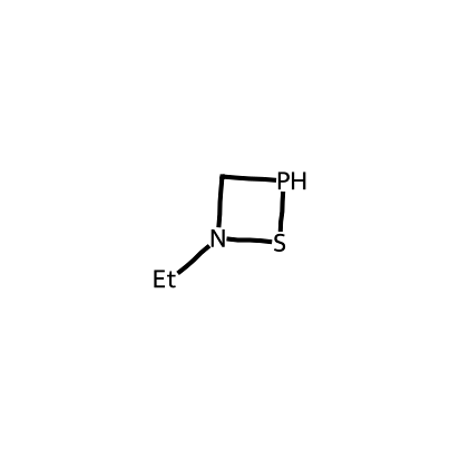 CCN1CPS1